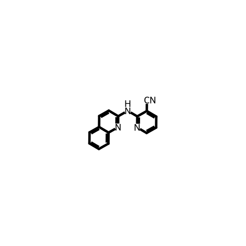 N#Cc1cccnc1Nc1ccc2ccccc2n1